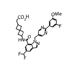 COc1cc(F)cc(-c2ncc(Cn3ncc4cc(C(F)F)cc(C(=O)NC5CC6(CC(CC(=O)O)C6)C5)c43)cn2)c1